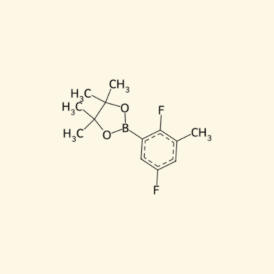 Cc1cc(F)cc(B2OC(C)(C)C(C)(C)O2)c1F